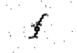 COC(=O)/C=C/c1ccc(NC(=O)CCCCCN)cc1.Cl